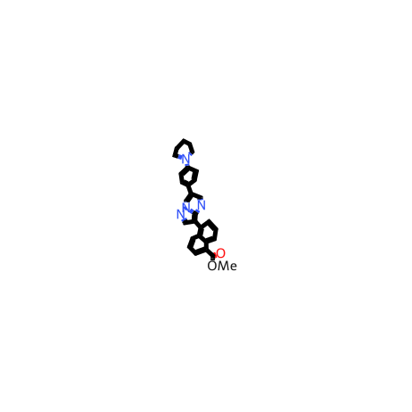 COC(=O)c1cccc2c(-c3cnn4cc(-c5ccc(N6CCCCC6)cc5)cnc34)cccc12